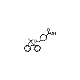 CC(C)(C)[Si](OCC1CCC(C(=O)O)CC1)(c1ccccc1)c1ccccc1